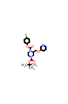 CC(C)(C)OC(=O)N1CCN(C(=O)Oc2ccc(F)cc2)C(COc2cccnc2)C1